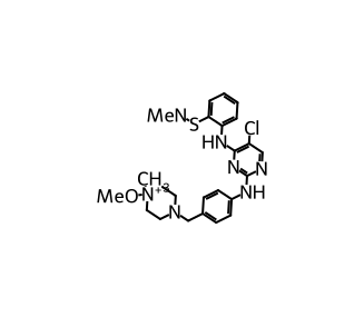 CNSc1ccccc1Nc1nc(Nc2ccc(CN3CC[N+](C)(OC)CC3)cc2)ncc1Cl